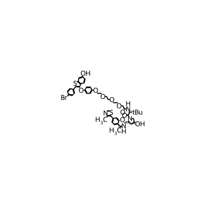 Cc1ncsc1-c1ccc([C@H](C)NC(=O)[C@@H]2C[C@@H](O)CN2C(=O)[C@@H](NC(=O)COCCOCCOCCOc2ccc(Oc3c(-c4ccc(Br)cc4)sc4cc(O)ccc34)cc2)C(C)(C)C)cc1